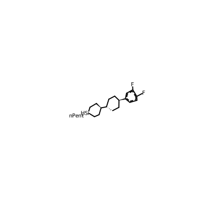 CCCCC[Si@H]1CC[C@@H]([C@H]2CC[C@H](c3ccc(F)c(F)c3)CC2)CC1